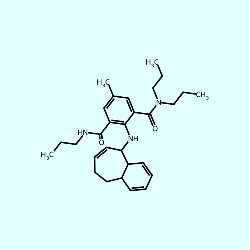 CCCNC(=O)c1cc(C)cc(C(=O)N(CCC)CCC)c1NC1C=CCCC2C=CC=CC21